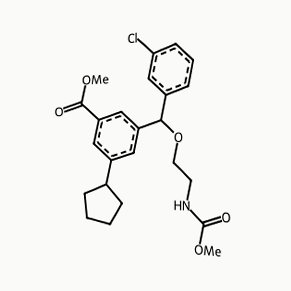 COC(=O)NCCOC(c1cccc(Cl)c1)c1cc(C(=O)OC)cc(C2CCCC2)c1